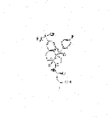 CC(O)CC(=O)N[C@@H]1CC[C@@]2(S(=O)(=O)c3ccc(F)cc3)c3ccc(C(F)(C(F)(F)F)C(F)(F)F)cc3CC[C@@H]12